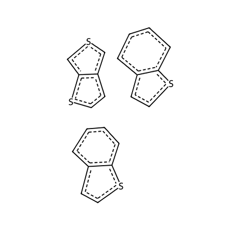 c1cc2cscc2s1.c1ccc2sccc2c1.c1ccc2sccc2c1